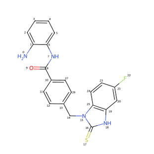 Nc1ccccc1NC(=O)c1ccc(Cn2c(=S)[nH]c3cc(F)ccc32)cc1